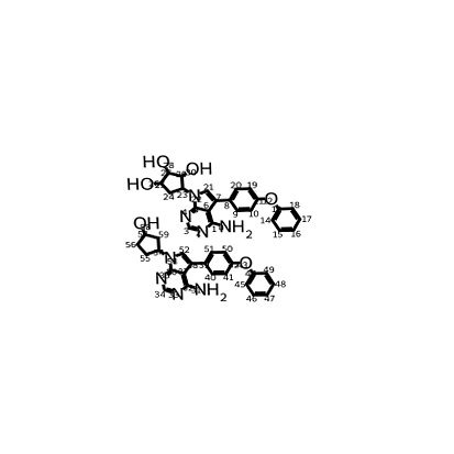 Nc1ncnc2c1c(-c1ccc(Oc3ccccc3)cc1)cn2C1CC(O)C(O)C1O.Nc1ncnc2c1c(-c1ccc(Oc3ccccc3)cc1)cn2C1CCC(O)C1